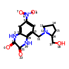 O=c1[nH]c2cc([N+](=O)[O-])cc(CN3CCCC3CO)c2[nH]c1=O